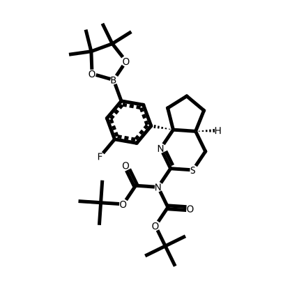 CC(C)(C)OC(=O)N(C(=O)OC(C)(C)C)C1=N[C@@]2(c3cc(F)cc(B4OC(C)(C)C(C)(C)O4)c3)CCC[C@H]2CS1